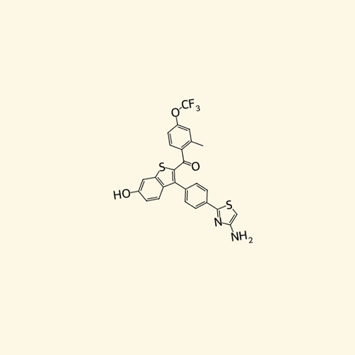 Cc1cc(OC(F)(F)F)ccc1C(=O)c1sc2cc(O)ccc2c1-c1ccc(-c2nc(N)cs2)cc1